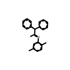 C/C(=N\c1cc(C)ccc1C)C(c1ccccc1)c1ccccc1